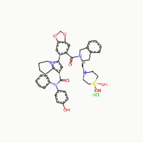 Cl.O=C(c1cc(-c2cc3c(cc2C(=O)N2Cc4ccccc4C[C@H]2CN2CCS(O)(O)CC2)OCO3)n2c1CCCC2)N(c1ccccc1)c1ccc(O)cc1